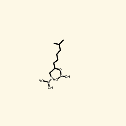 CC(C)CCCCC(CON(O)O)ON(O)O